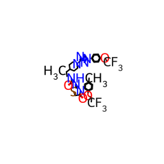 Cc1ccc(OCC(F)(F)F)c(N2C(=O)CS/C2=N\C(=O)NC[C@@H](C)C2CCN(c3ncn(-c4ccc(OC(F)(F)F)cc4)n3)CC2)c1